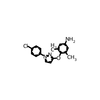 Cc1cc(N)cc(C)c1Oc1ccn(-c2ccc(Cl)cc2)n1